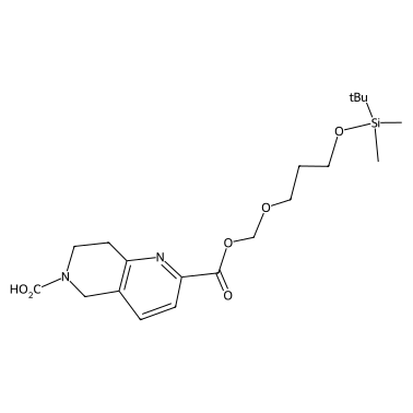 CC(C)(C)[Si](C)(C)OCCCOCOC(=O)c1ccc2c(n1)CCN(C(=O)O)C2